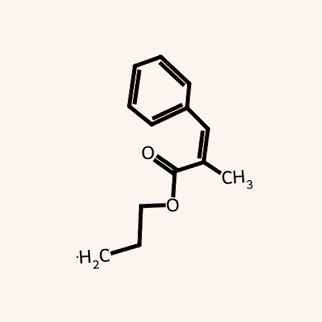 [CH2]CCOC(=O)C(C)=Cc1ccccc1